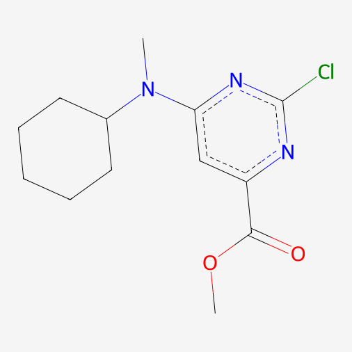 COC(=O)c1cc(N(C)C2CCCCC2)nc(Cl)n1